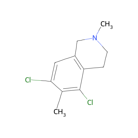 Cc1c(Cl)cc2c(c1Cl)CCN(C)C2